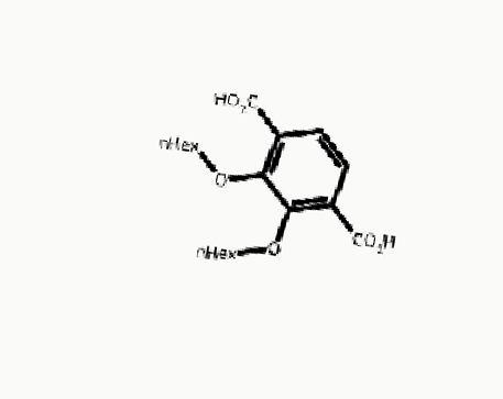 CCCCCCOc1c(C(=O)O)ccc(C(=O)O)c1OCCCCCC